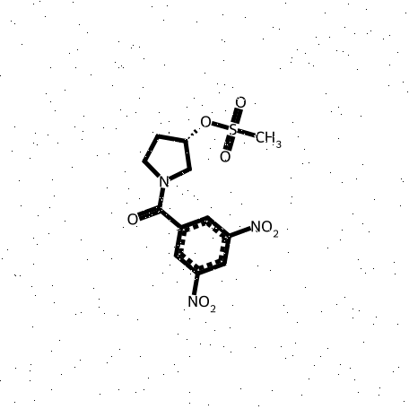 CS(=O)(=O)O[C@H]1CCN(C(=O)c2cc([N+](=O)[O-])cc([N+](=O)[O-])c2)C1